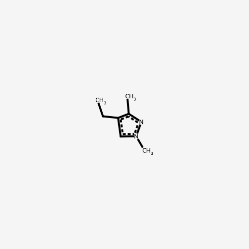 CCc1cn(C)nc1C